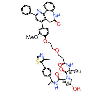 COc1cc(-c2cc(-c3ccccc3)nc3c2CC(=O)Nc2ccccc2-3)ccc1OCCOCCC(=O)N[C@H](C(=O)N1C[C@H](O)C[C@H]1C(=O)N[C@@H](C)c1ccc(-c2scnc2C)cc1)C(C)(C)C